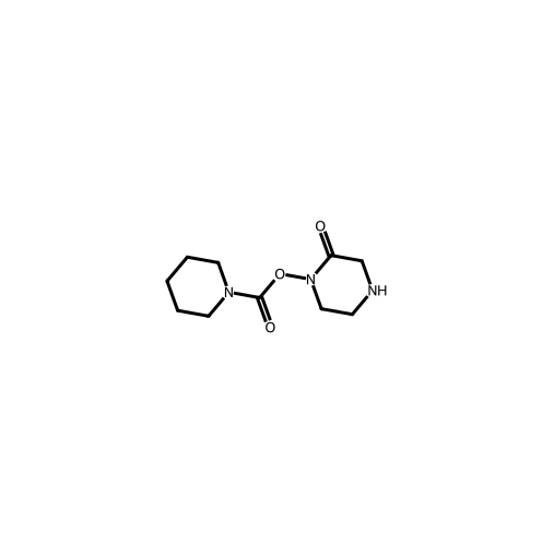 O=C(ON1CCNCC1=O)N1CCCCC1